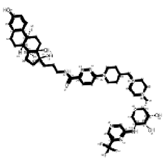 C[C@]12CC[C@@H]3c4ccc(O)cc4CC[C@H]3[C@@H]1CC[C@@]2(O)CCCNC(=O)c1ccc(N2CCC(CN3CCN(C[C@H]4OC[C@H](Nc5cncc(C(F)(F)F)n5)[C@@H](O)[C@H]4O)CC3)CC2)nn1